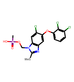 CSc1nc2cc(Oc3cccc(Cl)c3Cl)c(Cl)cc2n1COP(C)(=O)O